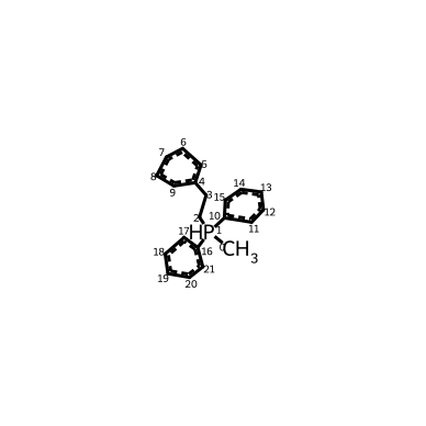 C[PH](CCc1ccccc1)(c1ccccc1)c1ccccc1